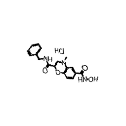 CN1CC(C(=O)NCc2ccccc2)Oc2ccc(C(=O)NO)cc21.Cl